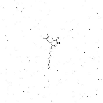 CCCCCCCCOC(=O)C1CC(C)=C(C)CC1C(=O)O